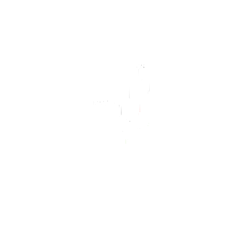 CCOC(=O)C1=CC(CF)(CF)Oc2ccc(C#N)cc21